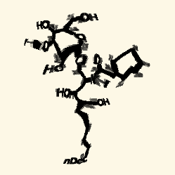 CCCCCCCCCCCCCCC(O)C(O)C(COC1OC(CO)C(O)C(O)C1O)NC(=O)c1ccccc1